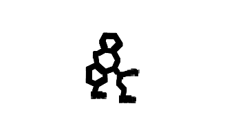 CCCN(CCNC)C1Cc2ccccc2Sc2ccc(SC)cc21